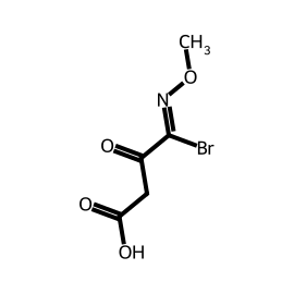 CON=C(Br)C(=O)CC(=O)O